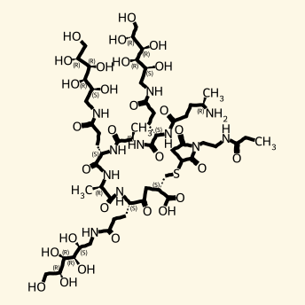 CCC(=O)NCCN1C(=O)CC(SC[C@@H](CC(=O)[C@H](CCC(=O)NC[C@H](O)[C@@H](O)[C@H](O)[C@H](O)CO)NC(=O)[C@@H](C)NC(=O)[C@H](CCC(=O)NC[C@H](O)[C@@H](O)[C@H](O)[C@H](O)CO)NC(=O)[C@@H](C)NC(=O)[C@H](CCC(=O)NC[C@H](O)[C@@H](O)[C@H](O)[C@H](O)CO)NC(=O)CC[C@@H](C)N)C(=O)O)C1=O